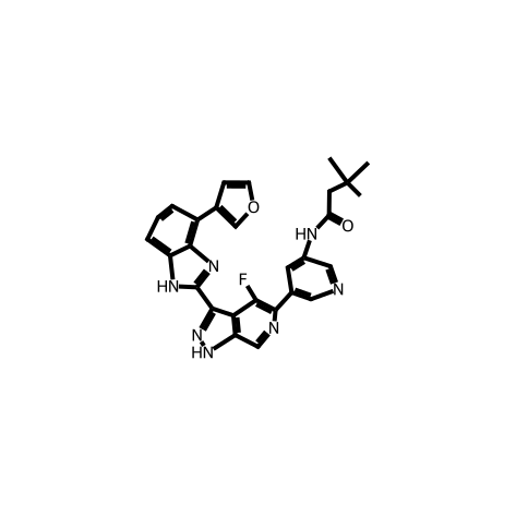 CC(C)(C)CC(=O)Nc1cncc(-c2ncc3[nH]nc(-c4nc5c(-c6ccoc6)cccc5[nH]4)c3c2F)c1